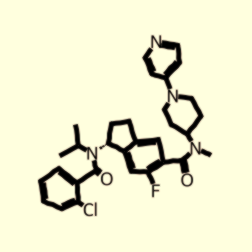 CC(C)N(C(=O)c1ccccc1Cl)[C@@H]1CCc2cc(C(=O)N(C)C3CCN(c4ccncc4)CC3)c(F)cc21